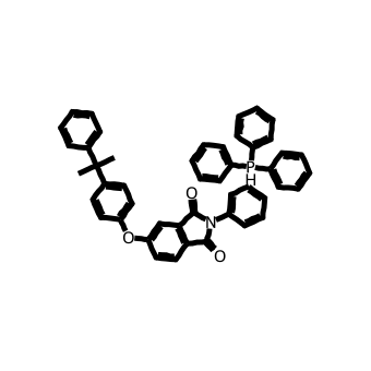 CC(C)(c1ccccc1)c1ccc(Oc2ccc3c(c2)C(=O)N(c2cccc([PH](c4ccccc4)(c4ccccc4)c4ccccc4)c2)C3=O)cc1